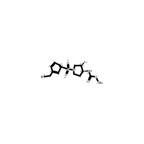 CC(C)(C)OC(=O)N[C@H]1CCN(S(=O)(=O)c2cccc(CBr)c2)C[C@H]1F